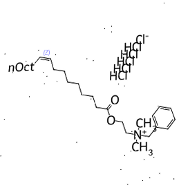 CCCCCCCC/C=C\CCCCCCCC(=O)OCC[N+](C)(C)Cc1ccccc1.Cl.Cl.Cl.Cl.Cl.[Cl-]